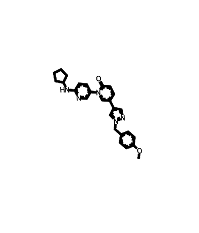 COc1ccc(Cn2cc(-c3ccc(=O)n(-c4ccc(NC5CCCC5)nc4)c3)cn2)cc1